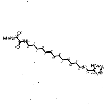 CNC(=O)C(=O)NCCCCC=CCCCCCCCOCc1nnn[nH]1